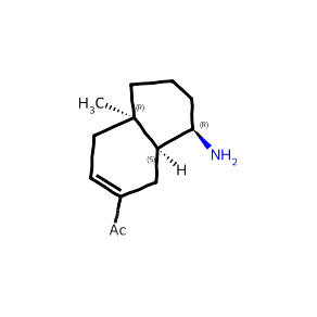 CC(=O)C1=CC[C@@]2(C)CCC[C@@H](N)[C@H]2C1